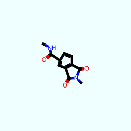 CNC(=O)c1ccc2c(c1)C(=O)N(C)C2=O